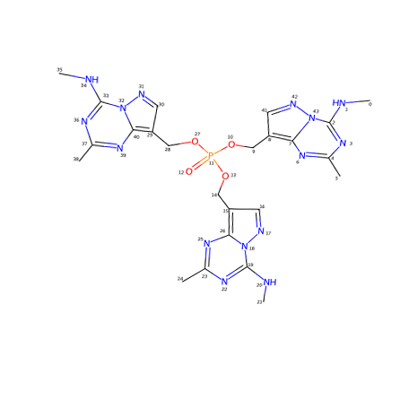 CNc1nc(C)nc2c(COP(=O)(OCc3cnn4c(NC)nc(C)nc34)OCc3cnn4c(NC)nc(C)nc34)cnn12